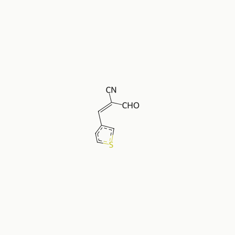 N#CC(C=O)=Cc1ccsc1